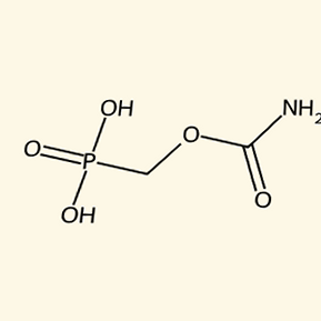 NC(=O)OCP(=O)(O)O